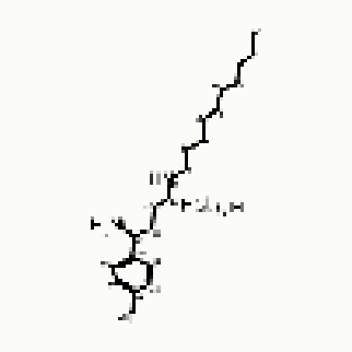 CCCCCCCCCCNCCCC(N)c1ccc(F)cc1.Cl.Cl